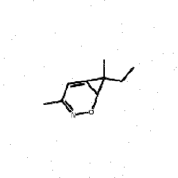 CCC1(C)C2=CC(C)=NOC21